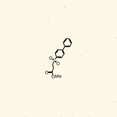 COC(=O)CCS(=O)(=O)c1ccc(-c2ccccc2)cc1